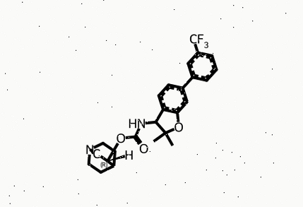 CC1(C)Oc2cc(-c3cccc(C(F)(F)F)c3)ccc2C1NC(=O)O[C@H]1CN2CCC1CC2